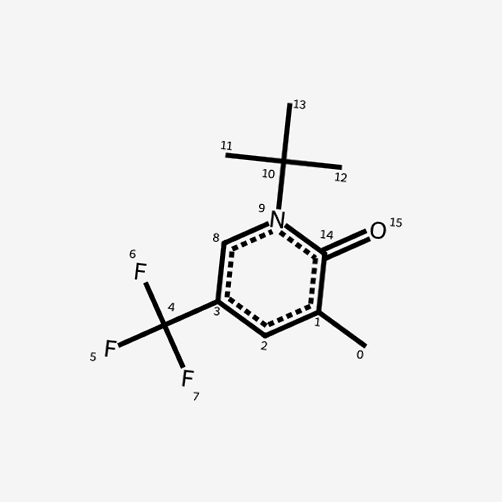 Cc1cc(C(F)(F)F)cn(C(C)(C)C)c1=O